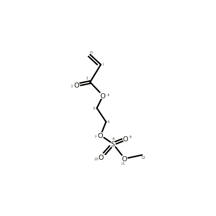 C=CC(=O)OCCOS(=O)(=O)OC